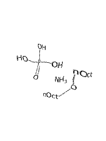 CCCCCCCCOCCCCCCCC.N.O=P(O)(O)O